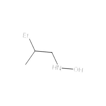 CCC(C)CNO